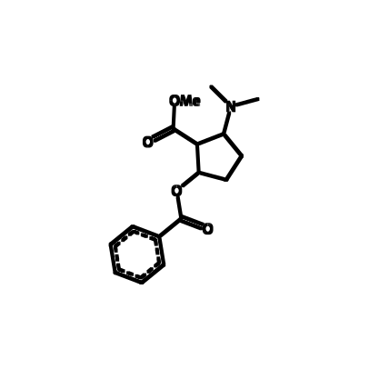 COC(=O)C1C(OC(=O)c2ccccc2)CCC1N(C)C